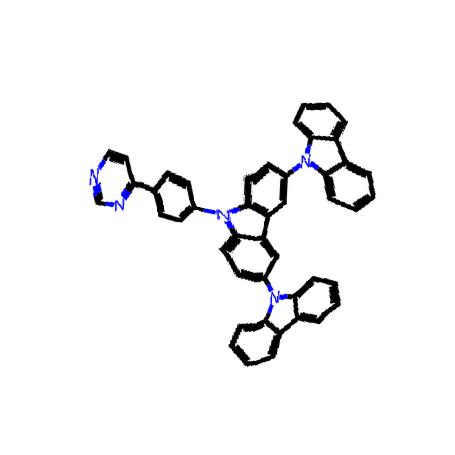 c1ccc2c(c1)c1ccccc1n2-c1ccc2c(c1)c1cc(-n3c4ccccc4c4ccccc43)ccc1n2-c1ccc(-c2ccncn2)cc1